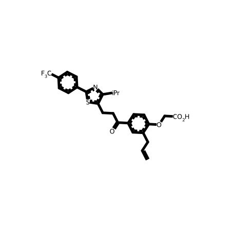 C=CCc1cc(C(=O)CCc2sc(-c3ccc(C(F)(F)F)cc3)nc2C(C)C)ccc1OCC(=O)O